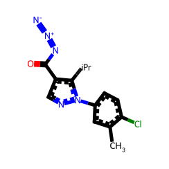 Cc1cc(-n2ncc(C(=O)N=[N+]=[N-])c2C(C)C)ccc1Cl